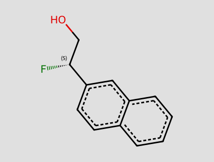 OC[C@@H](F)c1ccc2ccccc2c1